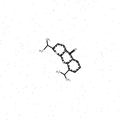 CC(C)c1ccc2c(=O)c3cccc(C(C)C)c3sc2c1